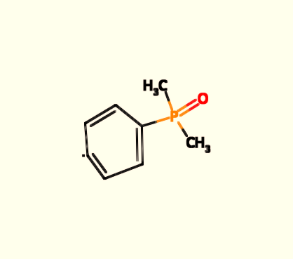 CP(C)(=O)c1cc[c]cc1